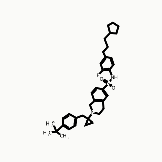 CC(C)(C)c1ccc(CC2(N3CCc4cc(S(=O)(=O)Nc5ccc(CCCC6CCCC6)cc5F)ccc4C3)CC2)cc1